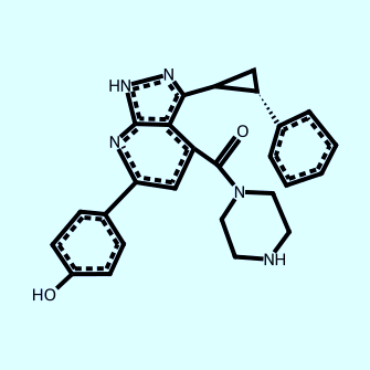 O=C(c1cc(-c2ccc(O)cc2)nc2[nH]nc(C3C[C@@H]3c3ccccc3)c12)N1CCNCC1